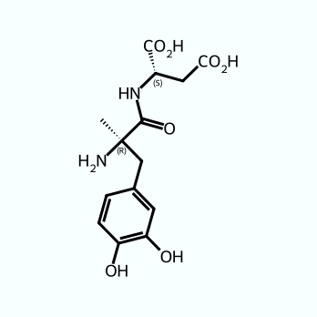 C[C@@](N)(Cc1ccc(O)c(O)c1)C(=O)N[C@@H](CC(=O)O)C(=O)O